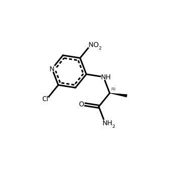 C[C@H](Nc1cc(Cl)ncc1[N+](=O)[O-])C(N)=O